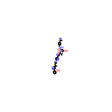 Cc1ncsc1-c1ccc(CNC(=O)[C@@H]2C[C@@H](O)CN2C(=O)[C@@H](c2cc(-c3ccc(N4CC(c5sc6nnc(-c7ccccc7O)cc6c5C)C4)nn3)no2)C(C)C)cc1